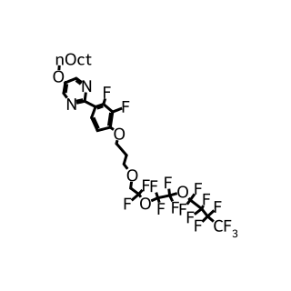 CCCCCCCCOc1cnc(-c2ccc(OCCCOCC(F)(F)OC(F)(F)C(F)(F)OC(F)(F)C(F)(F)C(F)(F)C(F)(F)F)c(F)c2F)nc1